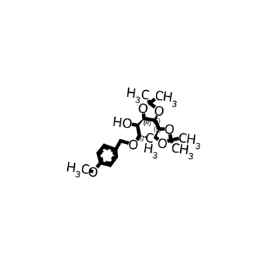 COc1ccc(CO[C@@H](C)C(O)[C@H]2OC(C)(C)O[C@H]2[C@@H]2COC(C)(C)O2)cc1